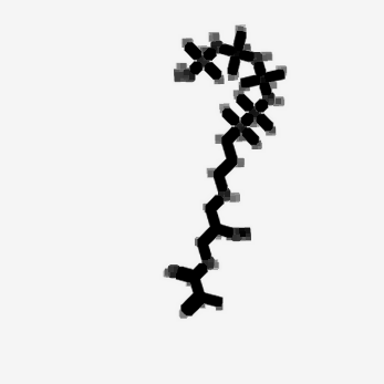 C=C(C)C(=O)OCC(O)COCCC[Si](C)(C)[Si](C)(C)O[Si](C)(C)O[Si](C)(C)O[Si](C)(C)O